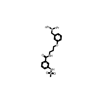 CCCN(CCC)Cc1cccc(OCCCNC(=O)c2cccc(NS(C)(=O)=O)c2)c1